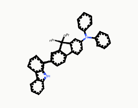 CCCC1(CCC)c2cc(-c3cccc4c3[nH]c3ccccc34)ccc2-c2ccc(N(c3ccccc3)c3ccccc3)cc21